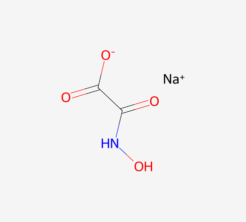 O=C([O-])C(=O)NO.[Na+]